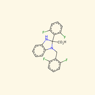 O=C(O)C1(c2c(F)cccc2F)Nc2ccccc2N1Cc1c(F)cccc1F